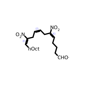 CCCCCCCC/C=C(\C/C=C\C/C(=C\CCC[C]=O)[N+](=O)[O-])[N+](=O)[O-]